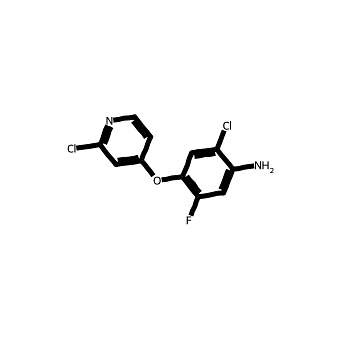 Nc1cc(F)c(Oc2ccnc(Cl)c2)cc1Cl